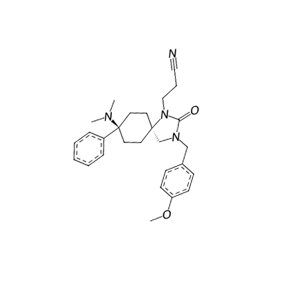 COc1ccc(CN2C[C@]3(CC[C@](c4ccccc4)(N(C)C)CC3)N(CCC#N)C2=O)cc1